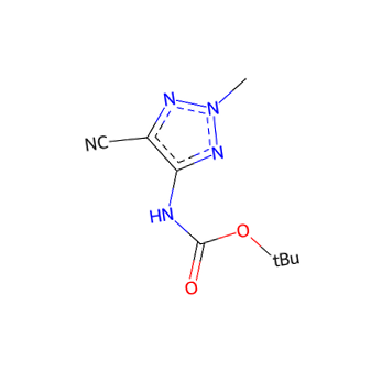 Cn1nc(C#N)c(NC(=O)OC(C)(C)C)n1